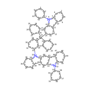 c1ccc(-n2c3ccccc3c3ccc([Si](c4ccccc4)(c4ccccc4)c4cccc(-n5c6ccccc6c6cc7c(cc65)c5ccccc5n7-c5ccccc5)c4)cc32)cc1